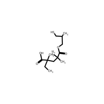 CCC(C)(CC(C)(C)C(=O)OCC(C)CS)C(=O)O